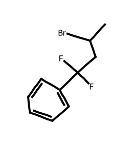 CC(Br)CC(F)(F)c1ccccc1